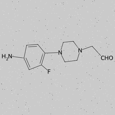 Nc1ccc(N2CCN(CC=O)CC2)c(F)c1